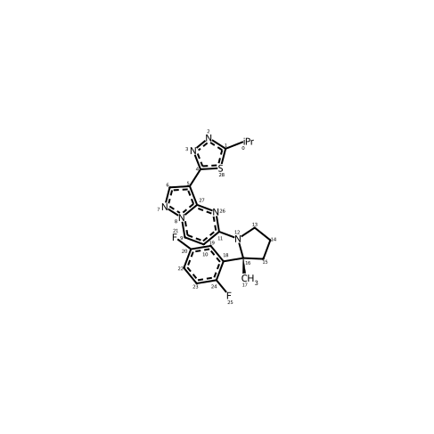 CC(C)c1nnc(-c2cnn3ccc(N4CCC[C@]4(C)c4cc(F)ccc4F)nc23)s1